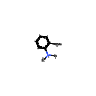 CCN(CC)c1c[c]ccc1OC